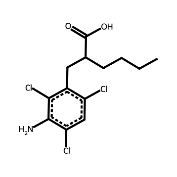 CCCCC(Cc1c(Cl)cc(Cl)c(N)c1Cl)C(=O)O